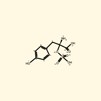 N[C@](Cc1ccc(O)cc1)(OS(=O)(=O)O)C(=O)O